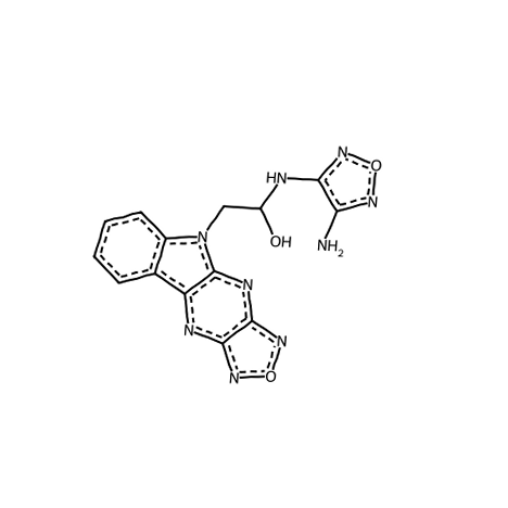 Nc1nonc1NC(O)Cn1c2ccccc2c2nc3nonc3nc21